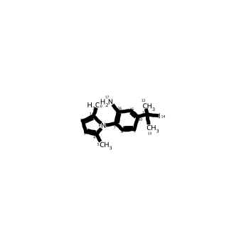 Cc1ccc(C)n1-c1ccc(C(C)(C)I)cc1N